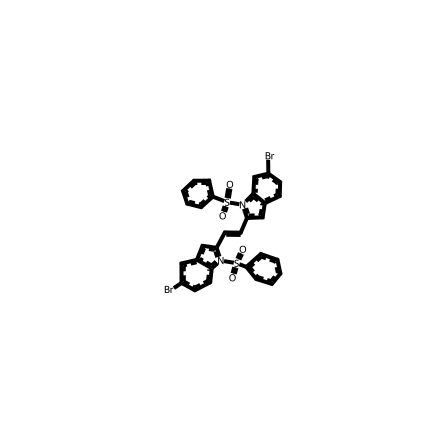 O=S(=O)(c1ccccc1)n1c(/C=C/c2cc3ccc(Br)cc3n2S(=O)(=O)c2ccccc2)cc2cc(Br)ccc21